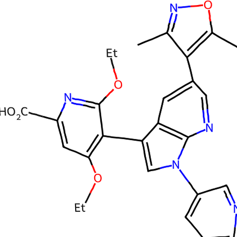 CCOc1cc(C(=O)O)nc(OCC)c1-c1cn(-c2cccnc2)c2ncc(-c3c(C)noc3C)cc12